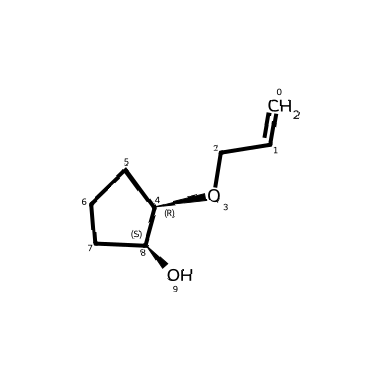 C=CCO[C@@H]1CCC[C@@H]1O